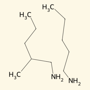 CCCC(C)CN.CCCCCN